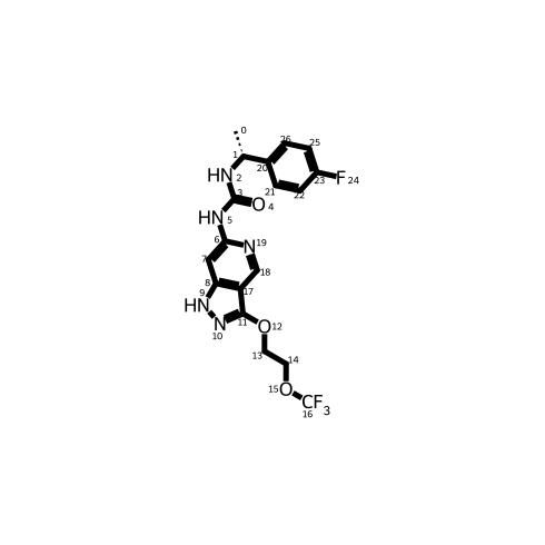 C[C@@H](NC(=O)Nc1cc2[nH]nc(OCCOC(F)(F)F)c2cn1)c1ccc(F)cc1